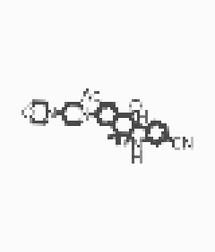 CC(=O)c1cc2c(cc1N1CCC(N3CCOCC3)CC1)C(C)(C)[C@@]1(C)Nc3cc(C#N)ccc3[C@@H]1C2=O